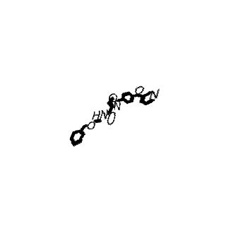 O=C(c1ccc(-c2nc(C(=O)NCCOCC3CCCCC3)co2)cc1)c1cccnc1